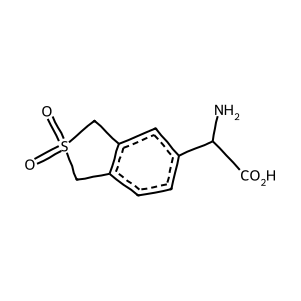 NC(C(=O)O)c1ccc2c(c1)CS(=O)(=O)C2